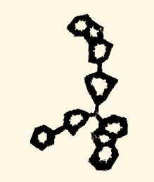 c1ccc(-c2ccc(N(c3ccc(-c4ccc5oc6ccccc6c5c4)cc3)c3cccc4c3sc3ccccc34)cc2)cc1